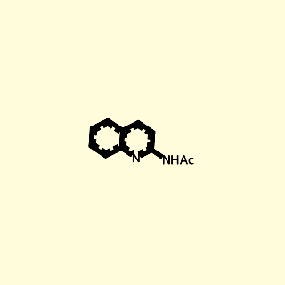 CC(=O)Nc1ccc2ccc[c]c2n1